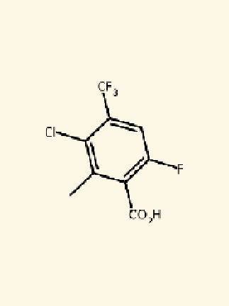 Cc1c(Cl)c(C(F)(F)F)cc(F)c1C(=O)O